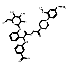 COc1ccc(N2CCN(C(=O)CNC(=O)C(Nc3cccc(C(=N)N)c3)c3ccccc3OC3OC(CO)C(O)C(O)C3O)CC2)c(OC)c1